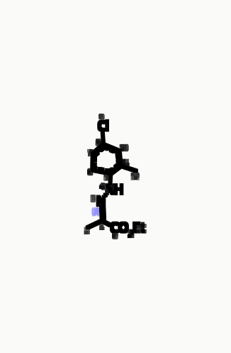 CCOC(=O)/C(C)=N\Nc1ccc(Cl)cc1C